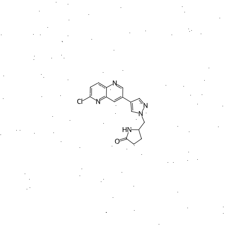 O=C1CCC(Cn2cc(-c3cnc4ccc(Cl)nc4c3)cn2)N1